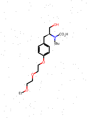 CCOCCOCCOc1ccc(C[C@@H](CO)N(C(=O)O)C(C)(C)C)cc1